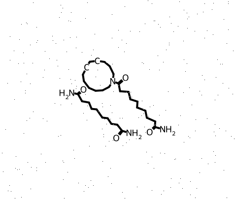 NC(=O)CCCCCCCCC(=O)N1CCCCCCCCCCCC1.NC(=O)CCCCCCCCC(N)=O